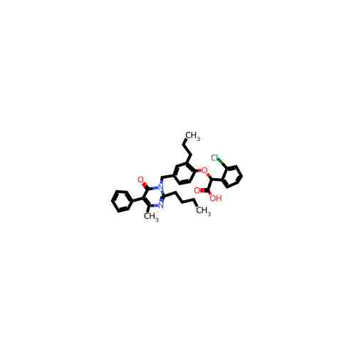 CCCCc1nc(C)c(-c2ccccc2)c(=O)n1Cc1ccc(OC(C(=O)O)c2ccccc2Cl)c(CCC)c1